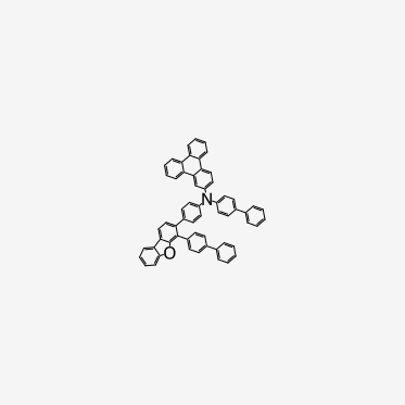 c1ccc(-c2ccc(-c3c(-c4ccc(N(c5ccc(-c6ccccc6)cc5)c5ccc6c7ccccc7c7ccccc7c6c5)cc4)ccc4c3oc3ccccc34)cc2)cc1